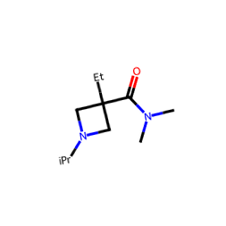 CCC1(C(=O)N(C)C)CN(C(C)C)C1